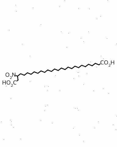 O=C(O)CCCCCCCCCCCCCCCCCCCCCCCCC(CC(=O)O)[N+](=O)[O-]